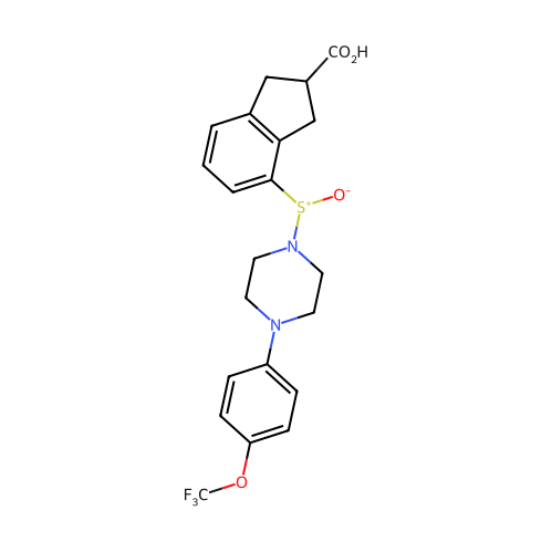 O=C(O)C1Cc2cccc([S+]([O-])N3CCN(c4ccc(OC(F)(F)F)cc4)CC3)c2C1